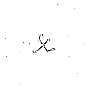 C[Si](C)(CO)O[SiH3]